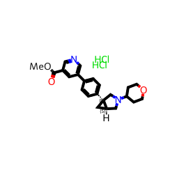 COC(=O)c1cncc(-c2ccc([C@@]34C[C@@H]3CN(C3CCOCC3)C4)cc2)c1.Cl.Cl